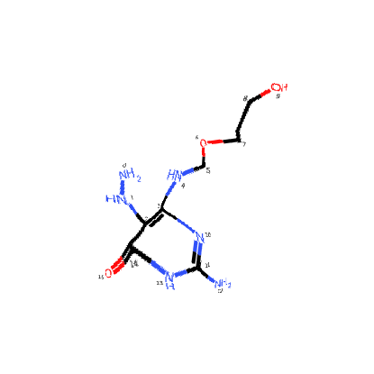 NNc1c(NCOCCO)nc(N)[nH]c1=O